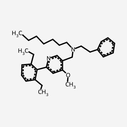 CCCCCCCN(CCc1ccccc1)Cc1cnc(-c2c(CC)cccc2CC)cc1OC